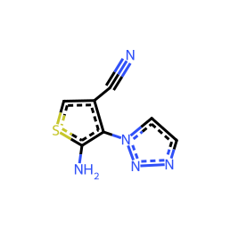 N#Cc1csc(N)c1-n1ccnn1